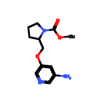 CC(C)(C)OC(=O)N1CCCC1COc1cncc(N)c1